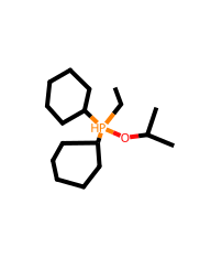 CC[PH](OC(C)C)(C1CCCCC1)C1CCCCC1